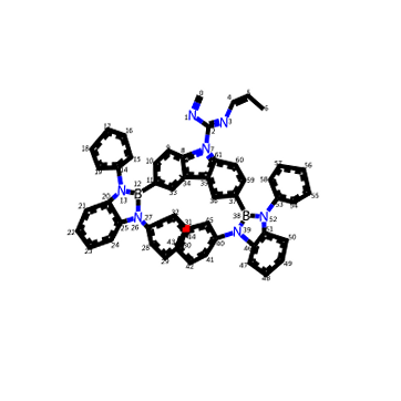 C=N/C(=N\C=C/C)n1c2ccc(B3N(c4ccccc4)c4ccccc4N3c3ccccc3)cc2c2cc(B3N(c4ccccc4)c4ccccc4N3c3ccccc3)ccc21